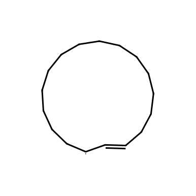 [CH]1/C=C/CCCCCCCCCCCCCC1